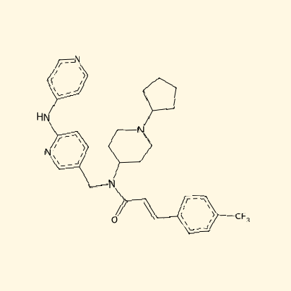 O=C(C=Cc1ccc(C(F)(F)F)cc1)N(Cc1ccc(Nc2ccncc2)nc1)C1CCN(C2CCCC2)CC1